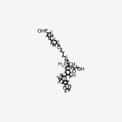 CC(C)(COCCCCCOCc1ccc(Cn2cc(C=O)cn2)nn1)c1cc2cc(NC(=O)C3(c4ccc5c(c4)OC(F)(F)O5)CC3)c(F)cc2n1C[C@@H](O)CO